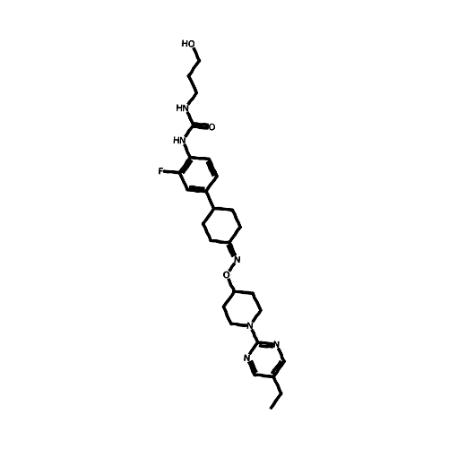 CCc1cnc(N2CCC(ON=C3CCC(c4ccc(NC(=O)NCCCO)c(F)c4)CC3)CC2)nc1